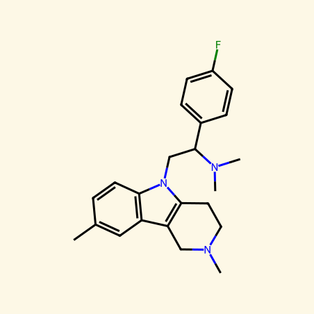 Cc1ccc2c(c1)c1c(n2CC(c2ccc(F)cc2)N(C)C)CCN(C)C1